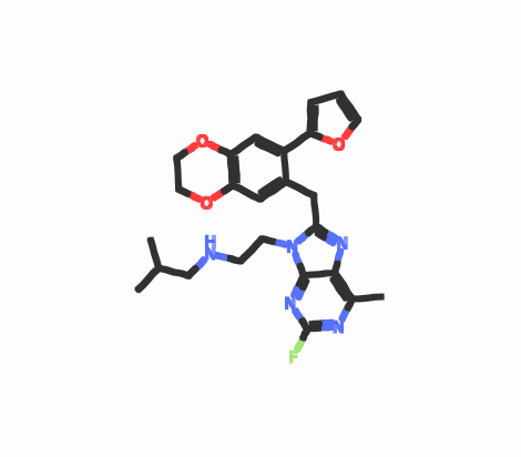 Cc1nc(F)nc2c1nc(Cc1cc3c(cc1-c1ccco1)OCCO3)n2CCNCC(C)C